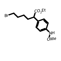 CCOC(=O)C(CCCCBr)c1ccc(NOC)cc1